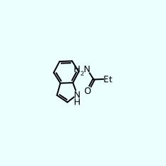 CCC(N)=O.c1ccc2[nH]ccc2c1